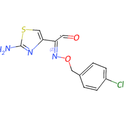 Nc1nc(/C([C]=O)=N/OCc2ccc(Cl)cc2)cs1